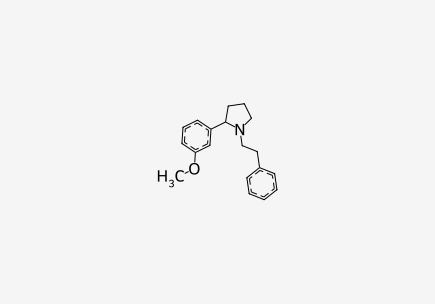 COc1cccc(C2CCCN2CCc2ccccc2)c1